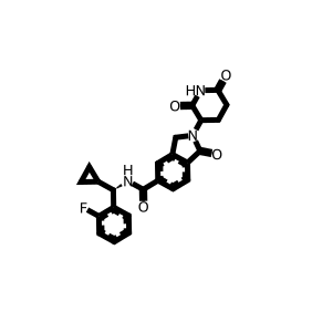 O=C1CCC(N2Cc3cc(C(=O)N[C@H](c4ccccc4F)C4CC4)ccc3C2=O)C(=O)N1